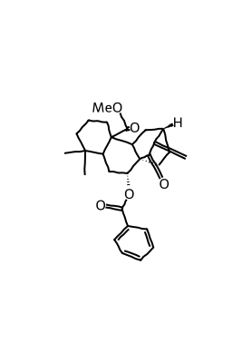 C=C1C(=O)[C@]23CC[C@H]1CC2C1(C(=O)OC)CCCC(C)(C)C1C[C@H]3OC(=O)c1ccccc1